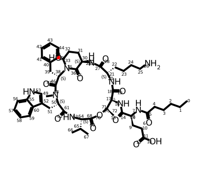 CCCCCC(=O)N[C@@H](CCC(=O)O)C(=O)N[C@@H]1C(=O)N[C@@H](CCCCN)C(=O)N[C@H]2CC[C@@H](O)N(C2=O)[C@@H](Cc2ccccc2)C(=O)N(C)[C@@H](Cc2c[nH]c3ccccc23)C(=O)N[C@@H](C(C)C)C(=O)O[C@@H]1C